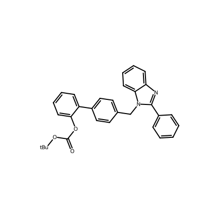 CC(C)(C)OC(=O)Oc1ccccc1-c1ccc(Cn2c(-c3ccccc3)nc3ccccc32)cc1